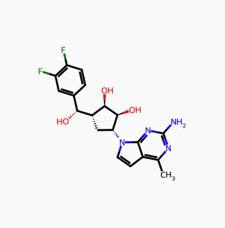 Cc1nc(N)nc2c1ccn2[C@@H]1C[C@H]([C@H](O)c2ccc(F)c(F)c2)[C@@H](O)[C@H]1O